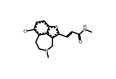 CNC(=O)/C=C/c1sc2ccc(Cl)c3c2c1CN(C)CC3